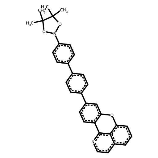 CC1(C)OB(c2ccc(-c3ccc(-c4ccc5c(c4)Oc4cccc6ccnc-5c46)cc3)cc2)OC1(C)C